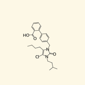 CCCCc1c(Cl)n(CCC(C)C)c(=O)n1Cc1ccc(-c2ccccc2C(=O)O)cc1